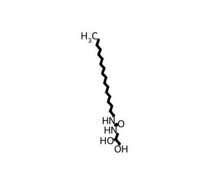 CCCCCCCCCCCCCCCCCCNC(=O)NCC(O)CO